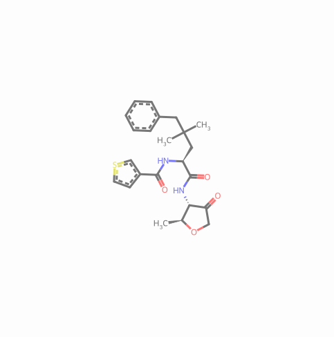 C[C@@H]1OCC(=O)[C@H]1NC(=O)[C@H](CC(C)(C)Cc1ccccc1)NC(=O)c1ccsc1